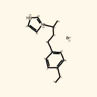 CCc1ccc(CCC(C)[n+]2cc[nH]c2)cc1.[Br-]